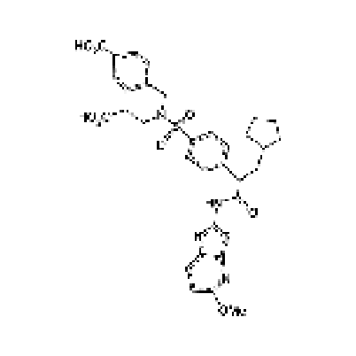 COc1ccc2nc(NC(=O)C(CC3CCCC3)c3ccc(S(=O)(=O)N(CCC(=O)O)Cc4ccc(C(=O)O)cc4)cc3)sc2n1